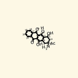 CC(=O)[C@]1(N)Cc2c(O)c3c(c(O)c2C(O)C1)C(=O)c1ccccc1C3=O